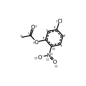 CC(=O)Oc1cc(Cl)ccc1[N+](=O)[O-]